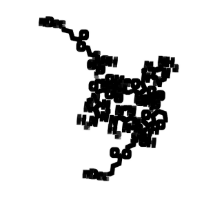 CCCCCCCCCCCCCC(=O)OCCSP(=O)(O)OC[C@H]1O[C@@H](n2cnc3c(N)ncnc32)C(OP(=O)(O)OC[C@H]2O[C@@H](n3cnc4c(N)ncnc43)C(OP(=O)(O)OC[C@]34CCCO[C@@H]3C(OP(=O)(O)SCCOC(=O)CCCCCCCCCCCCC)[C@H](n3cnc5c(N)ncnc53)O4)[C@H]2O)[C@@H]1OC